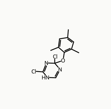 Cc1cc(C)c(OC2(Cl)N=CNC(Cl)=N2)c(C)c1